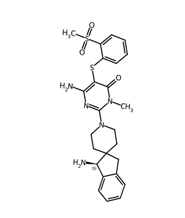 Cn1c(N2CCC3(CC2)Cc2ccccc2[C@H]3N)nc(N)c(Sc2ccccc2S(C)(=O)=O)c1=O